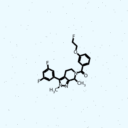 CC1c2nn(C)c(-c3cc(F)cc(F)c3)c2CCN1C(=O)c1cccc(OCCF)c1